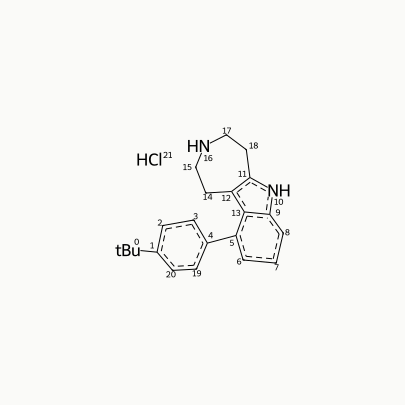 CC(C)(C)c1ccc(-c2cccc3[nH]c4c(c23)CCNCC4)cc1.Cl